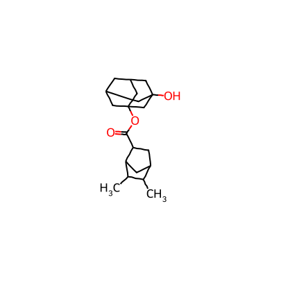 CC1C2CC(C(=O)OC34CC5CC(CC(O)(C5)C3)C4)C(C2)C1C